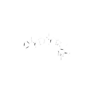 O=C(N[C@H]1CC[C@H](C(=O)Nc2ccccc2)CC1)O[C@@H]1CCN(c2cn[nH]c(=O)c2Cl)C1